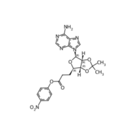 CC1(C)O[C@@H]2[C@H](O1)[C@@H](CCC(=O)Oc1ccc([N+](=O)[O-])cc1)O[C@H]2n1cnc2c(N)ncnc21